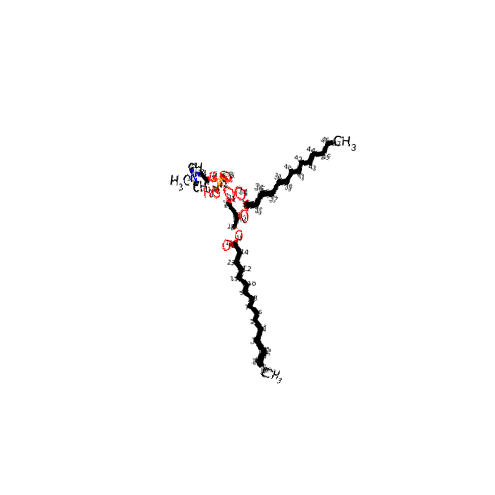 CCCCCCCCCCCCCCCC(=O)OCC(COP(=O)(O)OCC[N+](C)(C)C)OC(=O)CCCCCCCCCCCCC